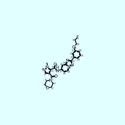 Cn1ncc(C(=O)N2CCOCC2)c1C(=O)Nc1ccn2nc(-c3cccc(OCCF)c3)nc2c1